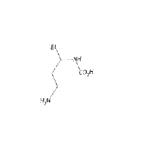 CCC(CCN)NC(=O)O